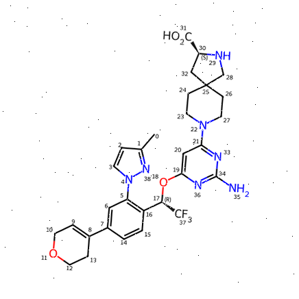 Cc1ccn(-c2cc(C3=CCOCC3)ccc2[C@@H](Oc2cc(N3CCC4(CC3)CN[C@H](C(=O)O)C4)nc(N)n2)C(F)(F)F)n1